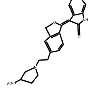 CC(=O)NC1CCN(CCc2ccc3c(c2)COC3=C2C(=O)Nc3ccccc32)C1